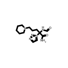 NC(=O)C(CCCN1CCCCC1)(NC=O)n1ccnn1